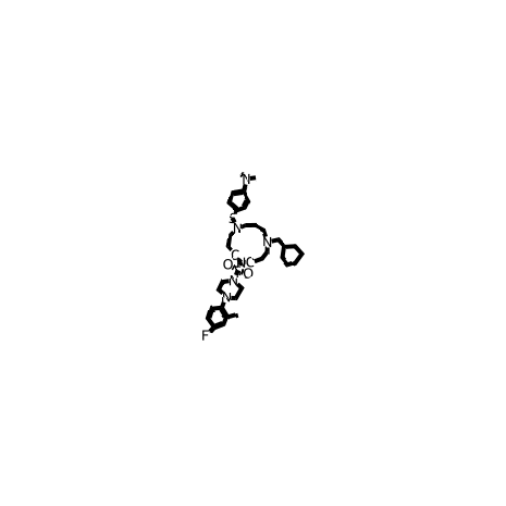 Cc1cc(F)ccc1N1CCN(S(=O)(=O)N2CCCN(CC3CCCCC3)CCCN(Sc3ccc(N(C)C)cc3)CCC2)CC1